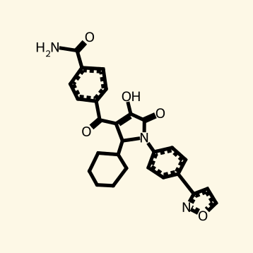 NC(=O)c1ccc(C(=O)C2=C(O)C(=O)N(c3ccc(-c4ccon4)cc3)C2C2CCCCC2)cc1